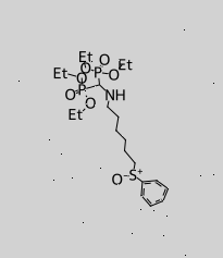 CCOP(=O)(OCC)C(NCCCCCC[S+]([O-])c1ccccc1)P(=O)(OCC)OCC